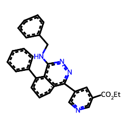 CCOC(=O)c1cncc(-c2nnc(NCc3ccccc3)c3c(-c4ccccc4)cccc23)c1